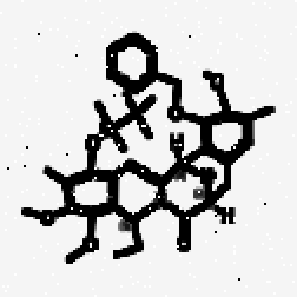 CC[C@H]1c2c(c(O[Si](C)(C)C(C)(C)C)c(C)c(OC)c2OC)C=C2[C@H]3c4c(cc(C)c(OC)c4OCc4ccccc4)C[C@@H](C(=O)N21)N3C